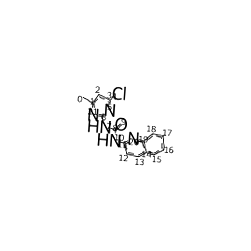 Cc1cc(Cl)nc(NC(=O)Nc2ccc3ccccc3n2)n1